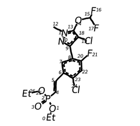 CCOP(=O)(/C=C/c1cc(-c2nn(C)c(OC(F)F)c2Cl)c(F)cc1Cl)OCC